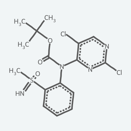 CC(C)(C)OC(=O)N(c1ccccc1S(C)(=N)=O)c1nc(Cl)ncc1Cl